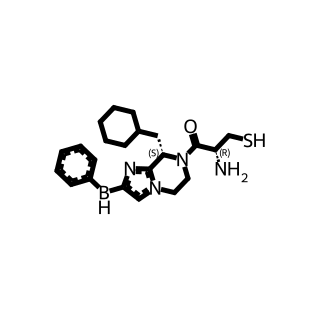 N[C@@H](CS)C(=O)N1CCn2cc(Bc3ccccc3)nc2[C@@H]1CC1CCCCC1